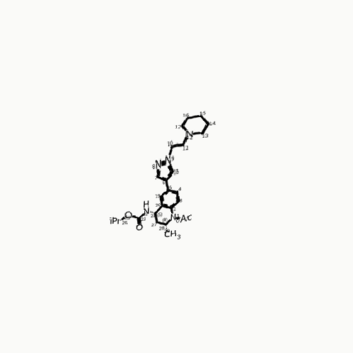 CC(=O)N1c2ccc(-c3cnn(CCN4CCCCC4)c3)cc2[C@@H](NC(=O)OC(C)C)C[C@H]1C